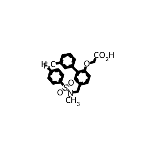 Cc1cccc(-c2cc(CN(C)S(=O)(=O)c3ccc(F)cc3)ccc2OCC(=O)O)c1